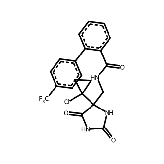 O=C1NC(=O)C(CNC(=O)c2ccccc2-c2ccc(C(F)(F)F)cc2)(C2(Cl)CC2)N1